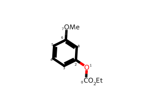 C[CH]OC(=O)Oc1cccc(OC)c1